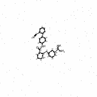 N#Cc1ccccc1-c1ccc(NC(=O)c2cccnc2Cc2cccc(C(=N)N)c2)cc1